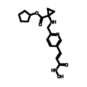 O=C(/C=C/c1ccc(CNC2(C(=O)OC3CCCC3)CC2)nc1)NO